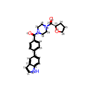 O=C(c1ccc(-c2ccc3[nH]ccc3c2)cc1)N1CCN(C(=O)[C@H]2CCCO2)CC1